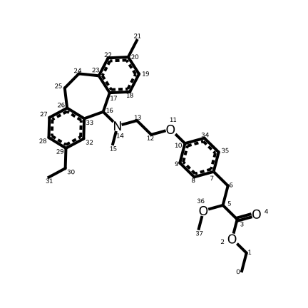 CCOC(=O)C(Cc1ccc(OCCN(C)C2c3ccc(C)cc3CCc3ccc(CC)cc32)cc1)OC